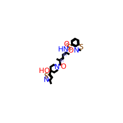 C/C(=C\C=C(/C)C(=O)N1CCC(O)(c2cc(C)ns2)CC1)NS(=O)(=O)c1cccc2scnc12